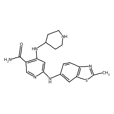 Cc1nc2ccc(Nc3cc(NC4CCNCC4)c(C(N)=O)cn3)cc2s1